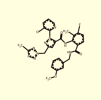 Cc1c(F)ccc(C(=O)NCc2cccc(OC(F)(F)F)c2)c1NC(=O)c1cc(Cn2nnc(C(F)(F)F)n2)nn1-c1ncccc1Cl